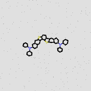 c1ccc(N(c2ccccc2)c2ccc3cc4c(cc3c2)sc2c4ccc3sc4cc5cc(N(c6ccccc6)c6ccccc6)ccc5cc4c32)cc1